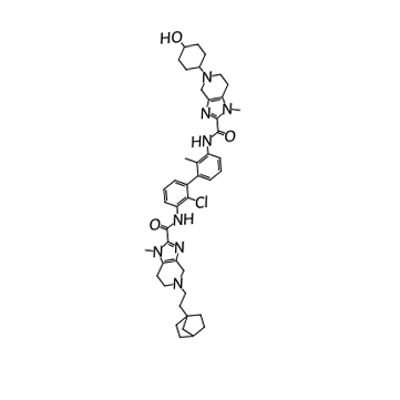 Cc1c(NC(=O)c2nc3c(n2C)CCN(C2CCC(O)CC2)C3)cccc1-c1cccc(NC(=O)c2nc3c(n2C)CCN(CCC24CCC(CC2)C4)C3)c1Cl